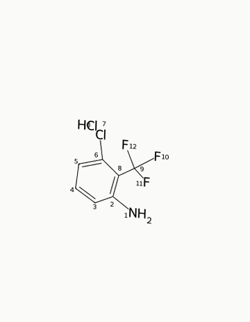 Cl.Nc1cccc(Cl)c1C(F)(F)F